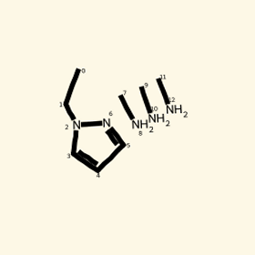 CCn1cccn1.CN.CN.CN